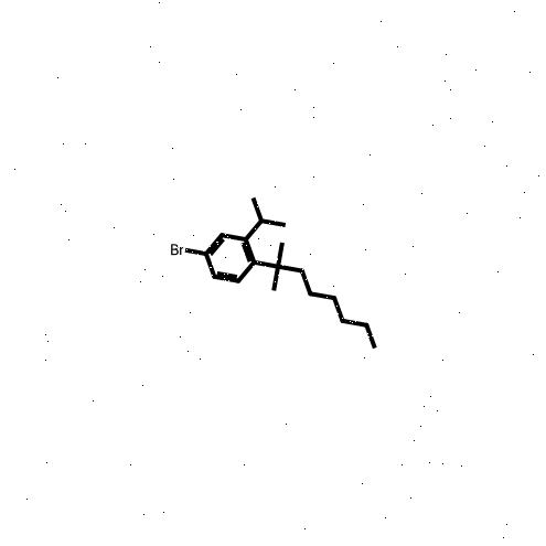 CCCCCCC(C)(C)c1ccc(Br)cc1C(C)C